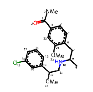 CNC(=O)c1ccc(CC(C)NCC(OC)c2cccc(Cl)c2)c(OC)c1